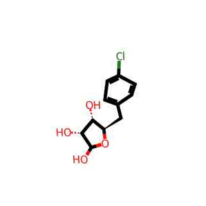 OC1O[C@H](Cc2ccc(Cl)cc2)[C@@H](O)[C@H]1O